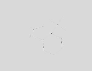 CCCC1(C(C)(C)C)CCCCC1O